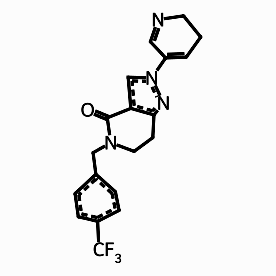 O=C1c2cn(C3=CCCN=C3)nc2CCN1Cc1ccc(C(F)(F)F)cc1